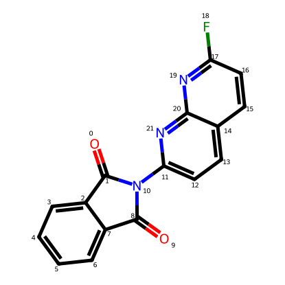 O=C1c2ccccc2C(=O)N1c1ccc2ccc(F)nc2n1